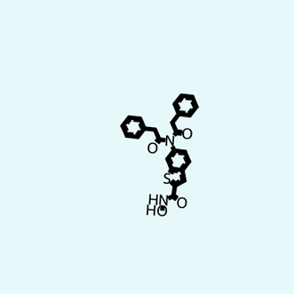 O=C(NO)c1cc2ccc(N(C(=O)Cc3ccccc3)C(=O)Cc3ccccc3)cc2s1